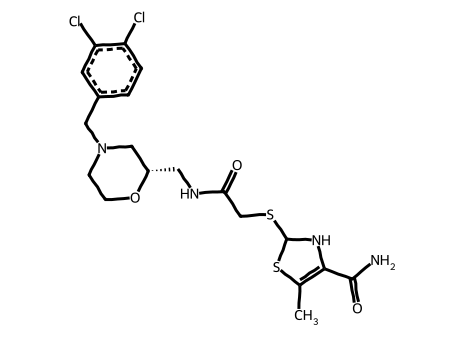 CC1=C(C(N)=O)NC(SCC(=O)NC[C@H]2CN(Cc3ccc(Cl)c(Cl)c3)CCO2)S1